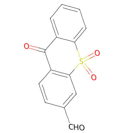 O=Cc1ccc2c(c1)S(=O)(=O)c1ccccc1C2=O